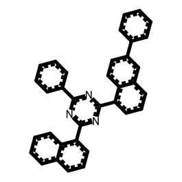 c1ccc(-c2ccc3c(-c4nc(-c5ccccc5)nc(-c5cccc6ccccc56)n4)cccc3c2)cc1